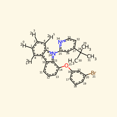 [2H]c1c([2H])c([2H])c2c(c1[2H])c1cccc(Oc3cccc(Br)c3)c1n2-c1cc(C(C)(C)C)ccn1